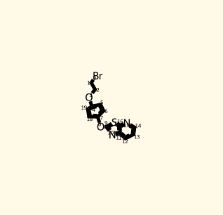 BrCCOc1ccc(Oc2nc3cccnc3s2)cc1